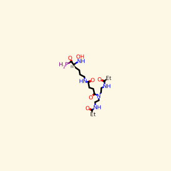 CCC(=O)NCCN(CCNC(=O)CC)C(=O)CCC(=O)NCCCC[C@H](NO)C(=O)P